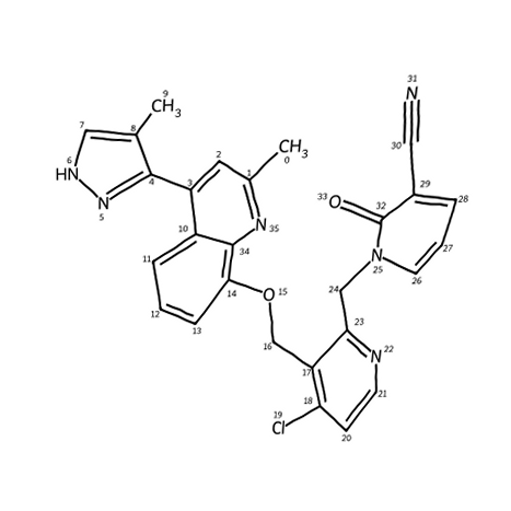 Cc1cc(-c2n[nH]cc2C)c2cccc(OCc3c(Cl)ccnc3Cn3cccc(C#N)c3=O)c2n1